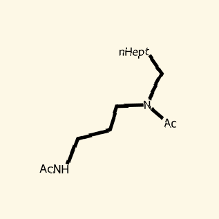 CCCCCCCCN(CCCNC(C)=O)C(C)=O